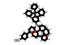 CC(C)(C)c1ccc(-c2ccc(N(c3ccc4c(c3)-c3ccccc3C4(c3ccccc3)c3ccccc3)c3ccc4ccccc4c3-c3ccccc3-c3ccccc3)cc2)cc1